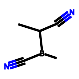 CB(C#N)C(C)C#N